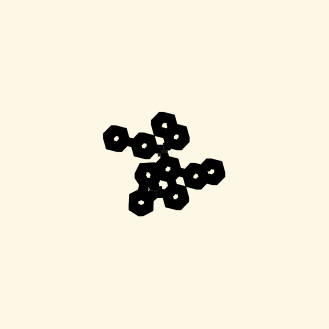 c1ccc(-c2ccc(N(c3ccc(-c4ccccc4-n4c5ccccc5c5ccccc54)c(-c4ccc5ccccc5c4)c3)c3cccc4ccccc34)cc2)cc1